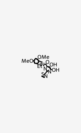 CCc1cc(OC)cc(OC)c1CNC(=O)c1nc(-c2nccs2)nc(O)c1O